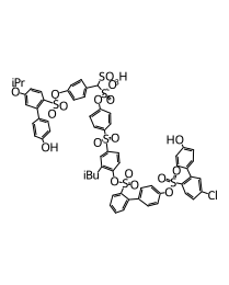 CCC(C)c1cc(S(=O)(=O)c2ccc(OS(=O)(=O)C(c3ccc(OS(=O)(=O)c4ccc(OC(C)C)cc4-c4ccc(O)cc4)cc3)S(=O)(=O)O)cc2)ccc1OS(=O)(=O)c1ccccc1-c1ccc(OS(=O)(=O)c2ccc(Cl)cc2-c2ccc(O)cc2)cc1